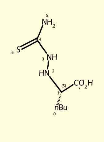 CCCC[C@H](NNC(N)=S)C(=O)O